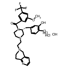 COc1cc(C(=O)N2CCN(CCN3CCc4ncccc4C3)C[C@H]2Cc2ccc(Cl)c(O)c2)cc(C(F)(F)F)c1.Cl.Cl.Cl